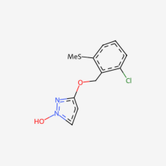 CSc1cccc(Cl)c1COc1ccn(O)n1